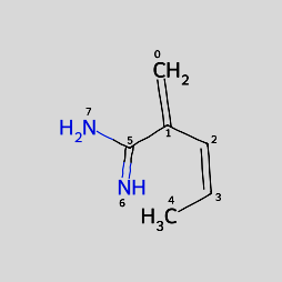 C=C(/C=C\C)C(=N)N